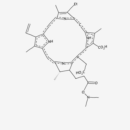 C=Cc1c(C)c2cc3nc(c(CC(=O)O)c4[nH]c(cc5nc(cc1[nH]2)C(C)=C5CC)c(C)c4C(=O)O)C(CCC(=O)ON(C)C)[C@@H]3C